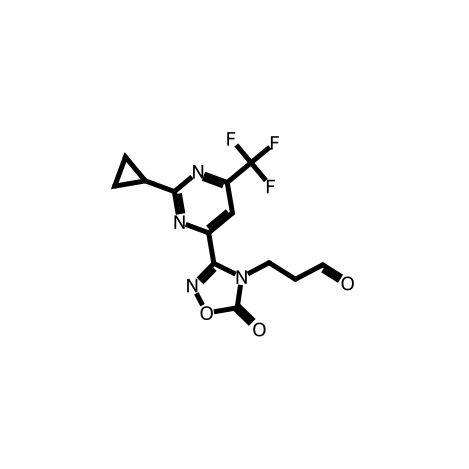 O=CCCn1c(-c2cc(C(F)(F)F)nc(C3CC3)n2)noc1=O